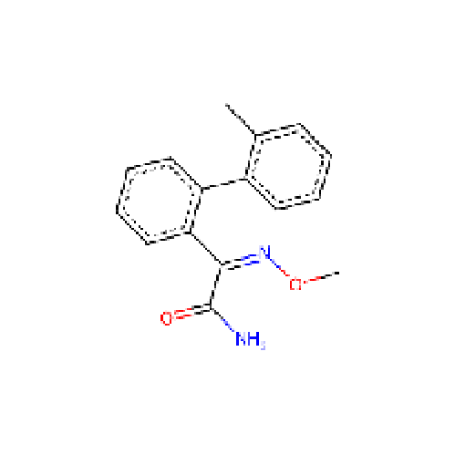 CON=C(C(N)=O)c1ccccc1-c1ccccc1C